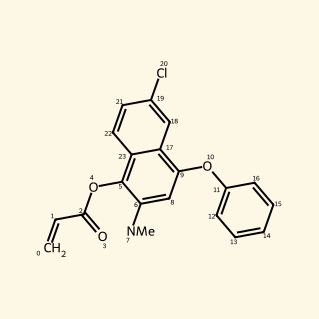 C=CC(=O)Oc1c(NC)cc(Oc2ccccc2)c2cc(Cl)ccc12